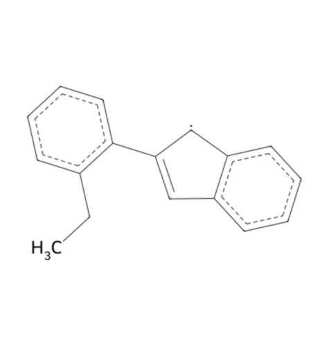 CCc1ccccc1C1=Cc2ccccc2[CH]1